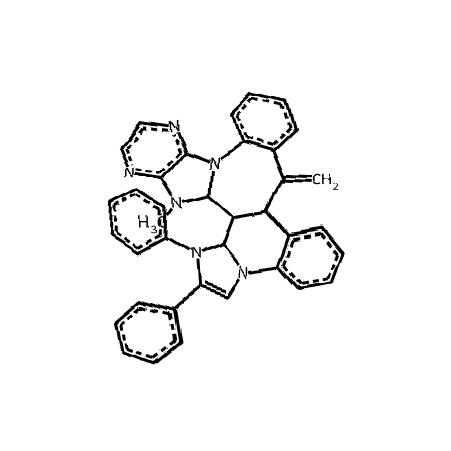 C=C1c2ccccc2N2c3nccnc3N(C)C2C2C1c1ccccc1N1C=C(c3ccccc3)N(c3ccccc3)C21